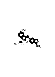 COc1ccc2c(c1)[C@]1(C[C@H]1c1ccc3c(c1)CN=C3N)C(=O)N2C(=O)OC(C)(C)C